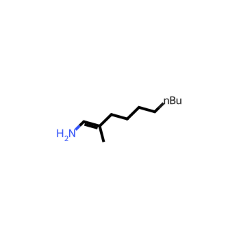 CCCCCCCC/C(C)=C/N